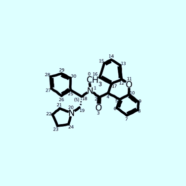 CN(C(=O)C1c2ccccc2Oc2ccccc21)[C@H](CN1CCCC1)c1ccccc1